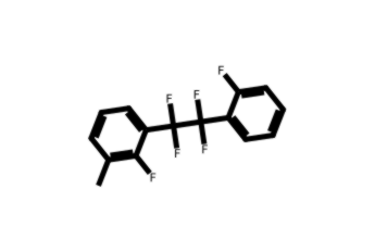 Cc1cccc(C(F)(F)C(F)(F)c2ccccc2F)c1F